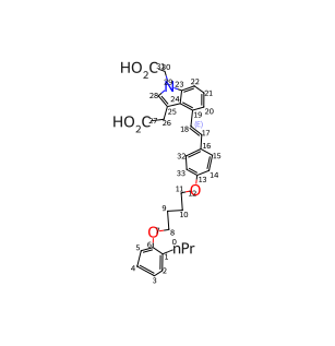 CCCc1ccccc1OCCCCOc1ccc(/C=C/c2cccc3c2c(CC(=O)O)cn3CC(=O)O)cc1